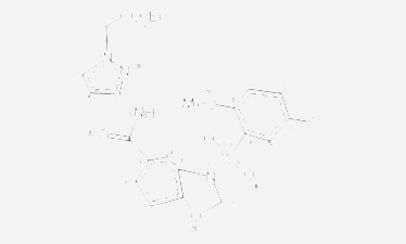 CCOC(=O)Cn1ccc(NC(=O)c2ccc3c(c2)N(S(=O)(=O)c2cc(Cl)ccc2OC)CO3)n1